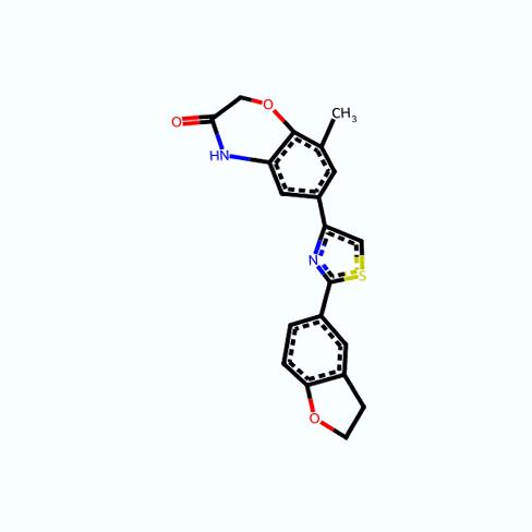 Cc1cc(-c2csc(-c3ccc4c(c3)CCO4)n2)cc2c1OCC(=O)N2